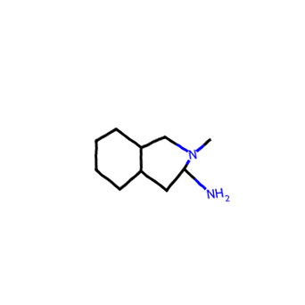 CN1CC2CCCCC2CC1N